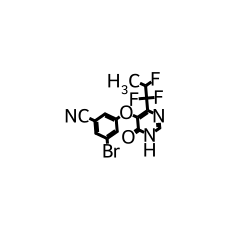 CC(F)C(F)(F)c1nc[nH]c(=O)c1Oc1cc(Br)cc(C#N)c1